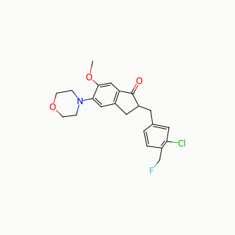 COc1cc2c(cc1N1CCOCC1)CC(Cc1ccc(CF)c(Cl)c1)C2=O